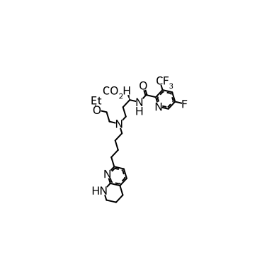 CCOCCN(CCCCc1ccc2c(n1)NCCC2)CC[C@H](NC(=O)c1ncc(F)cc1C(F)(F)F)C(=O)O